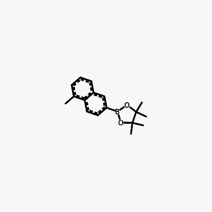 Cc1cccc2cc(B3OC(C)(C)C(C)(C)O3)ccc12